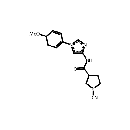 COC1C=CC(n2cnc(NC(=O)[C@H]3CCN(C#N)C3)c2)=CC1